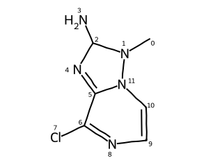 CN1C(N)N=C2C(Cl)=NC=CN21